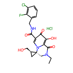 CCN1C[C@@]2(C[C@H]2CO)n2cc(C(=O)NCc3cccc(Cl)c3F)c(=O)c(O)c2C1=O.Cl